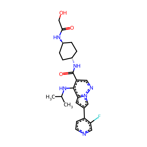 CC(C)Nc1c(C(=O)N[C@H]2CC[C@H](NC(=O)CO)CC2)cnn2cc(-c3ccncc3F)cc12